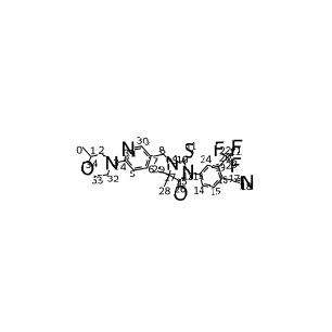 CC1CN(c2ccc(CN3C(=S)N(c4ccc(C#N)c(C(F)(F)F)c4)C(=O)C3(C)C)cn2)CCO1